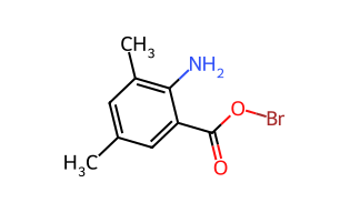 Cc1cc(C)c(N)c(C(=O)OBr)c1